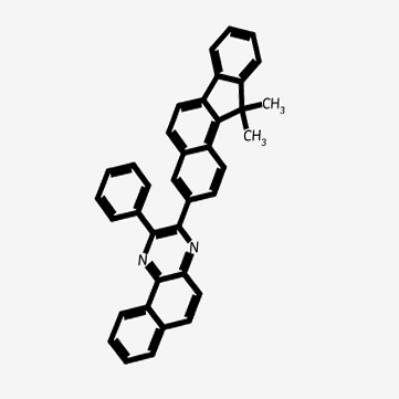 CC1(C)c2ccccc2-c2ccc3cc(-c4nc5ccc6ccccc6c5nc4-c4ccccc4)ccc3c21